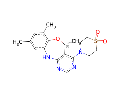 Cc1cc(C)c2c(c1)Nc1ncnc(N3CCS(=O)(=O)CC3)c1[C@@H](C)O2